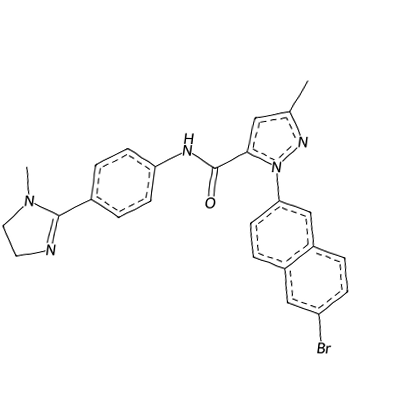 Cc1cc(C(=O)Nc2ccc(C3=NCCN3C)cc2)n(-c2ccc3cc(Br)ccc3c2)n1